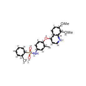 COc1ccc2c(Oc3ccc(NS(=O)(=O)c4ccccc4C(F)(F)F)cc3C)ccnc2c1OC